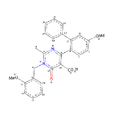 COc1ccc(-c2nc(C)n(Cc3ccccc3OC)c(=O)c2C(=O)O)c(-c2ccccc2)c1